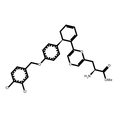 COC(=O)[C@@H](N)CC1=COC=C(C2=CC=CC[C@@H]2c2ccc(OCc3ccc(Cl)c(Cl)c3)cc2)O1